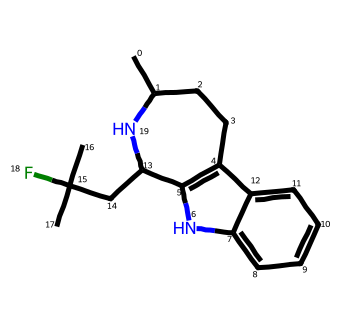 CC1CCc2c([nH]c3ccccc23)C(CC(C)(C)F)N1